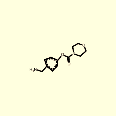 NCc1ccc(OC(=O)N2CCOCC2)cc1